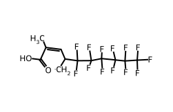 [CH2]C(C=C(C)C(=O)O)C(F)(F)C(F)(F)C(F)(F)C(F)(F)C(F)(F)C(F)(F)F